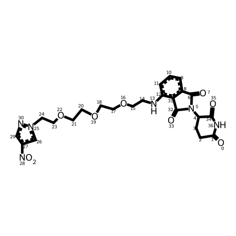 O=C1CCC(N2C(=O)c3cccc(NCCOCCOCCOCCn4cc([N+](=O)[O-])cn4)c3C2=O)C(=O)N1